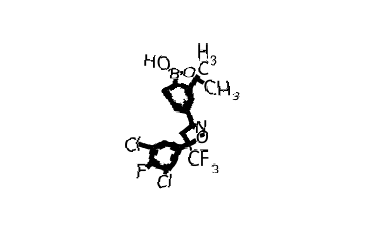 CC1(C)OB(O)c2ccc(C3=NO[C@](c4cc(Cl)c(F)c(Cl)c4)(C(F)(F)F)C3)cc21